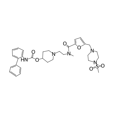 CN(CCN1CCC(OC(=O)Nc2ccccc2-c2ccccc2)CC1)C(=O)c1ccc(CN2CCN(S(C)(=O)=O)CC2)o1